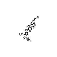 CCc1cc(Nc2nccn3c(-c4cn(CCCC#N)nc4C(F)(F)F)cnc23)ccc1C(=O)NC